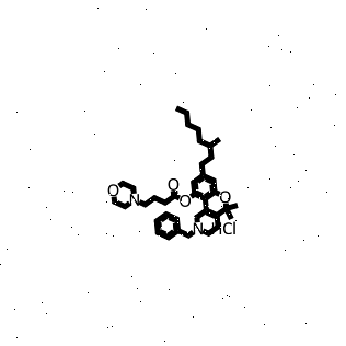 CCCCCC(C)CCc1cc(OC(=O)CCCN2CCOCC2)c2c(c1)OC(C)(C)C1=C2CN(Cc2ccccc2)CC1.Cl